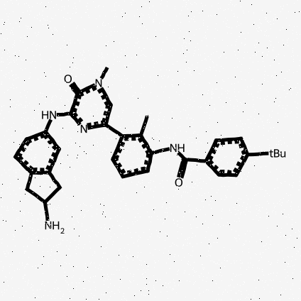 Cc1c(NC(=O)c2ccc(C(C)(C)C)cc2)cccc1-c1cn(C)c(=O)c(Nc2ccc3c(c2)CC(N)C3)n1